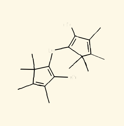 CCCC1=[C]([Eu][C]2=C(CCC)C(C)=C(C)C2(C)C)C(C)(C)C(C)=C1C